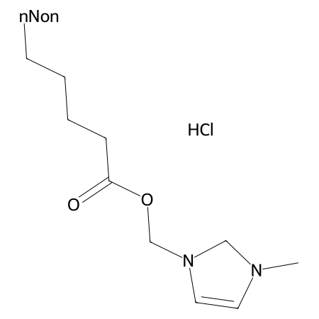 CCCCCCCCCCCCCC(=O)OCN1C=CN(C)C1.Cl